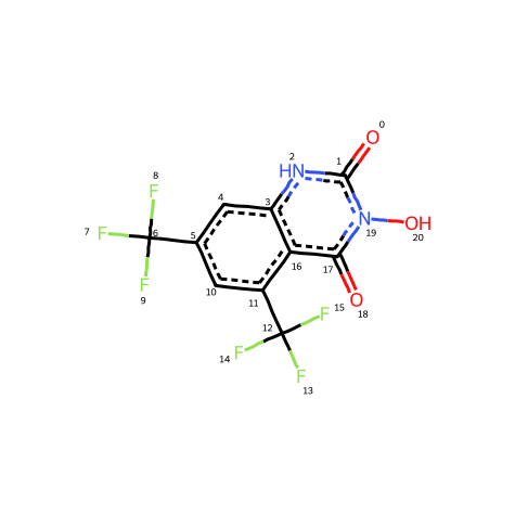 O=c1[nH]c2cc(C(F)(F)F)cc(C(F)(F)F)c2c(=O)n1O